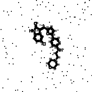 O=C1Nc2ccc(Cl)cc2/C1=C\c1ccc(-c2ccc(NCCN3CCOCC3)nc2)o1